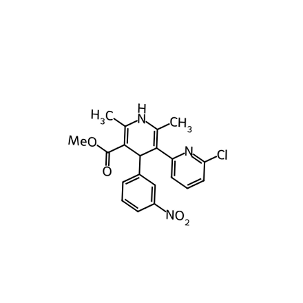 COC(=O)C1=C(C)NC(C)=C(c2cccc(Cl)n2)C1c1cccc([N+](=O)[O-])c1